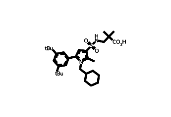 Cc1c(S(=O)(=O)NCC(C)(C)C(=O)O)cc(-c2cc(C(C)(C)C)cc(C(C)(C)C)c2)n1CC1CCCCC1